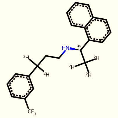 [2H]C([2H])(CCN[C@@H](c1cccc2ccccc12)C([2H])([2H])[2H])c1cccc(C(F)(F)F)c1